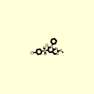 CSc1ncc2cc(S(=O)(=O)c3ccc(Cl)cc3)c(=O)n(-c3ccccc3)c2n1